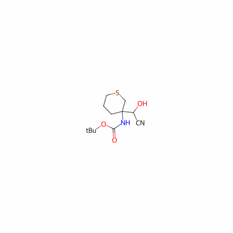 CC(C)(C)OC(=O)NC1(C(O)C#N)CCCSC1